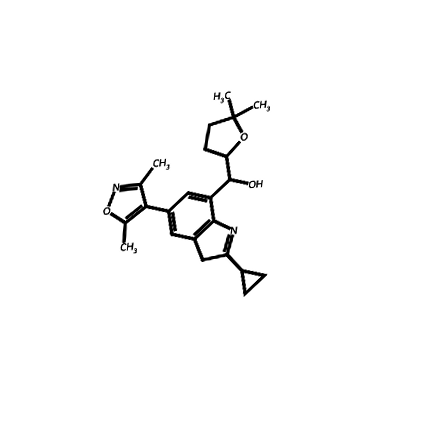 Cc1noc(C)c1-c1cc2c(c(C(O)C3CCC(C)(C)O3)c1)N=C(C1CC1)C2